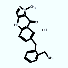 Cl.Cn1ncc2[nH]c3ccc(Cc4ccccc4CN)cc3c(=O)c21